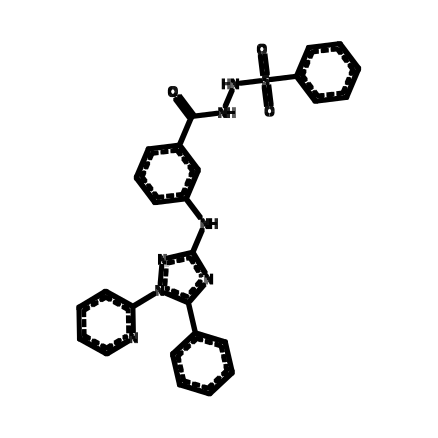 O=C(NNS(=O)(=O)c1ccccc1)c1cccc(Nc2nc(-c3ccccc3)n(-c3ccccn3)n2)c1